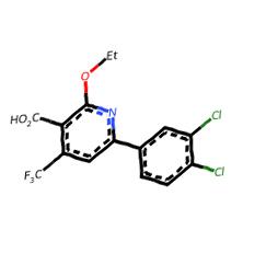 CCOc1nc(-c2ccc(Cl)c(Cl)c2)cc(C(F)(F)F)c1C(=O)O